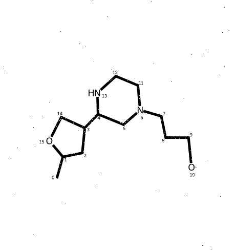 CC1CC(C2CN(CCC[O])CCN2)CO1